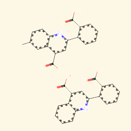 Cc1ccc2nc(-c3ccccc3C(=O)O)cc(C(=O)O)c2c1.O=C(O)c1ccccc1-c1cc(C(=O)O)c2ccccc2n1